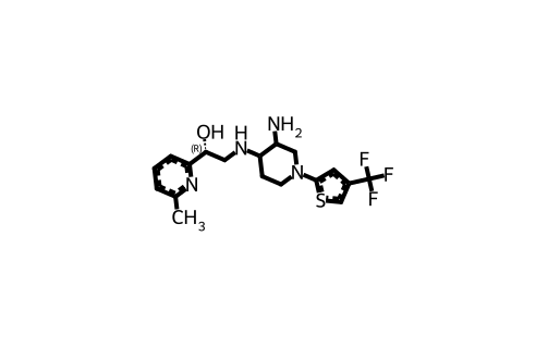 Cc1cccc([C@H](O)CNC2CCN(c3cc(C(F)(F)F)cs3)CC2N)n1